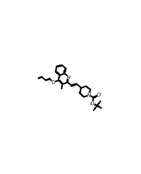 CCCCOc1c(C)c(/C=C/C2CCN(C(=O)OC(C)(C)C)CC2)nc2ccccc12